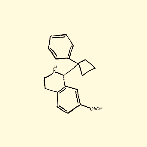 COc1ccc2c(c1)C(C1(c3ccccc3)CCC1)NCC2